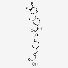 O=C(O)COCC1CCC(COC(=O)Nc2ccc(-c3ccc(F)c(F)c3)c(F)c2)CC1